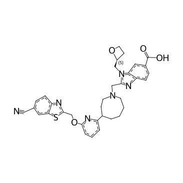 N#Cc1ccc2nc(COc3cccc(C4CCCCN(Cc5nc6ccc(C(=O)O)cc6n5C[C@@H]5CCO5)CC4)n3)sc2c1